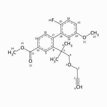 C#CCOCC(C)(C)c1cc(C(=O)OC)ccc1-c1cc(OC)ccc1F